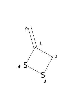 C=C1CSS1